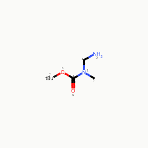 CN(CN)C(=O)OC(C)(C)C